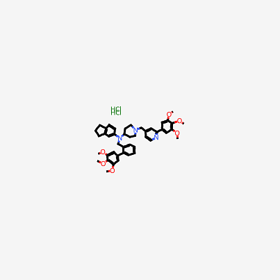 COc1cc(-c2cc(CN3CCC(N(Cc4ccccc4-c4cc(OC)c(OC)c(OC)c4)c4ccc5c(c4)CCC5)CC3)ccn2)cc(OC)c1OC.Cl.Cl